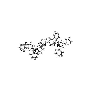 c1ccc(-c2cc(-n3c4ccccc4c4cc(-c5cccc(-c6ccc7c8ccccc8n(-c8ccc9sc%10ccncc%10c9c8)c7c6)n5)ccc43)nc(-c3ccccc3)n2)cc1